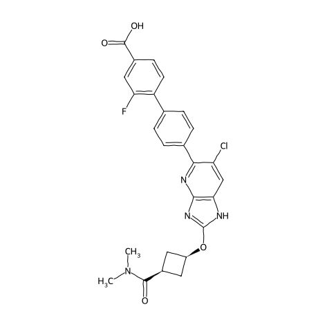 CN(C)C(=O)[C@H]1C[C@@H](Oc2nc3nc(-c4ccc(-c5ccc(C(=O)O)cc5F)cc4)c(Cl)cc3[nH]2)C1